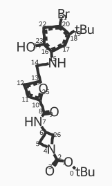 CC(C)(C)OC(=O)N1CC(NC(=O)c2ccc(CNc3cc(C(C)(C)C)c(Br)cc3O)o2)C1